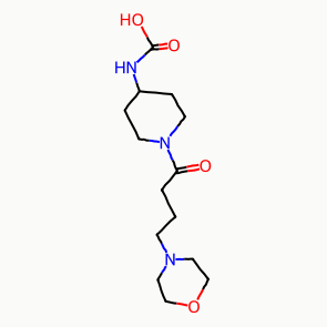 O=C(O)NC1CCN(C(=O)CCCN2CCOCC2)CC1